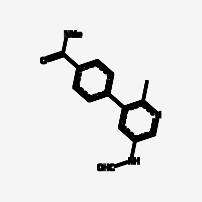 CNC(=O)c1ccc(-c2cc(NC=O)cnc2C)cc1